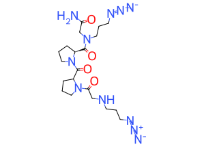 [N-]=[N+]=NCCCNCC(=O)N1CCCC1C(=O)N1CCC[C@H]1C(=O)N(CCCN=[N+]=[N-])CC(N)=O